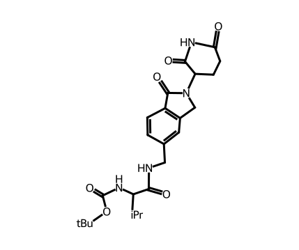 CC(C)C(NC(=O)OC(C)(C)C)C(=O)NCc1ccc2c(c1)CN(C1CCC(=O)NC1=O)C2=O